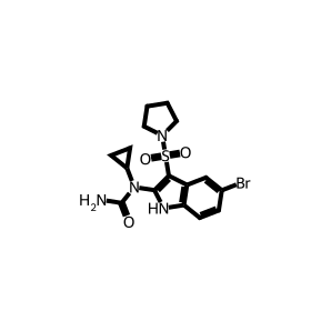 NC(=O)N(c1[nH]c2ccc(Br)cc2c1S(=O)(=O)N1CCCC1)C1CC1